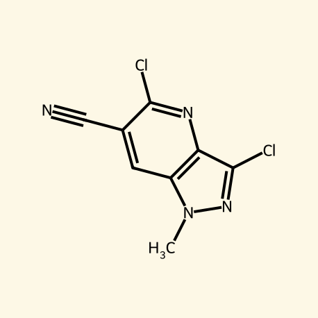 Cn1nc(Cl)c2nc(Cl)c(C#N)cc21